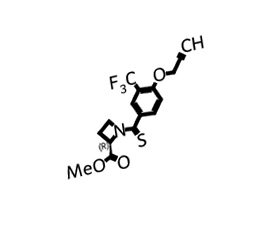 C#CCOc1ccc(C(=S)N2CC[C@@H]2C(=O)OC)cc1C(F)(F)F